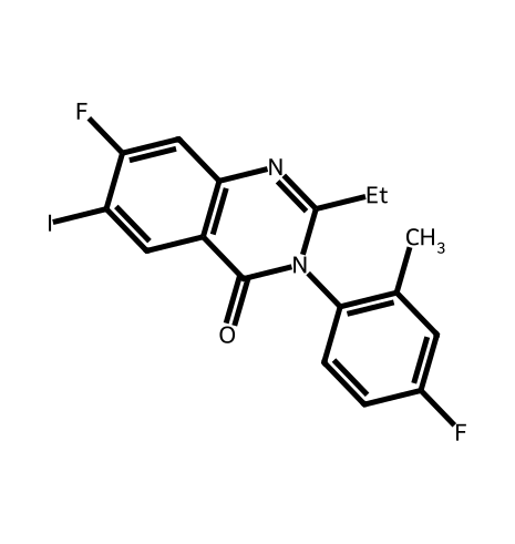 CCc1nc2cc(F)c(I)cc2c(=O)n1-c1ccc(F)cc1C